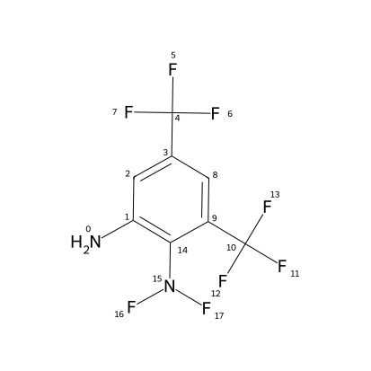 Nc1cc(C(F)(F)F)cc(C(F)(F)F)c1N(F)F